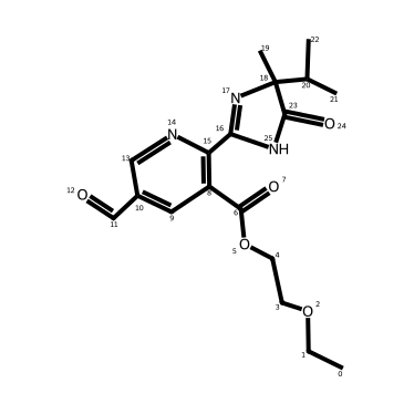 CCOCCOC(=O)c1cc(C=O)cnc1C1=NC(C)(C(C)C)C(=O)N1